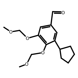 COCOc1cc(C=O)cc(C2CCCC2)c1OCOC